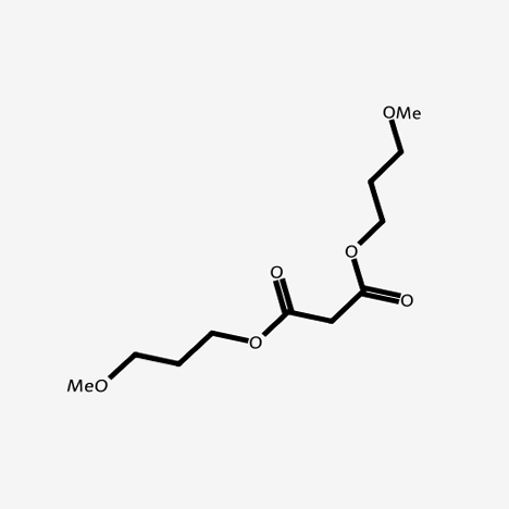 COCCCOC(=O)CC(=O)OCCCOC